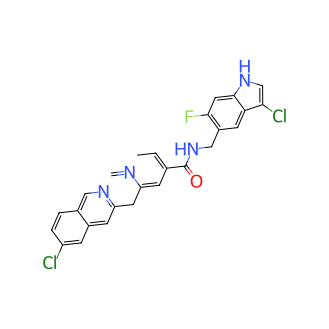 C=N/C(=C\C(=C/C)C(=O)NCc1cc2c(Cl)c[nH]c2cc1F)Cc1cc2cc(Cl)ccc2cn1